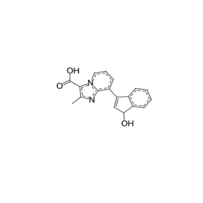 Cc1nc2c(C3=CC(O)c4ccccc43)cccn2c1C(=O)O